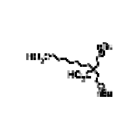 CCCCOCCC(CCCCCCCC(=O)O)(CCOCCCC)C(=O)O